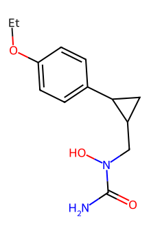 CCOc1ccc(C2CC2CN(O)C(N)=O)cc1